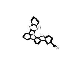 N#Cc1ccc2oc3c(ccc4c5cccc6c7c(n(c65)c43)NC3C=CC=CC3=N7)c2c1